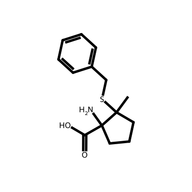 CC1(SCc2ccccc2)CCCC1(N)C(=O)O